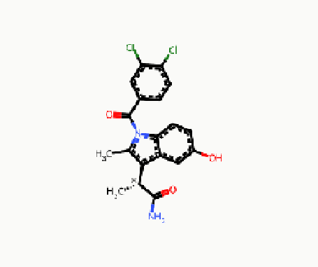 Cc1c([C@@H](C)C(N)=O)c2cc(O)ccc2n1C(=O)c1ccc(Cl)c(Cl)c1